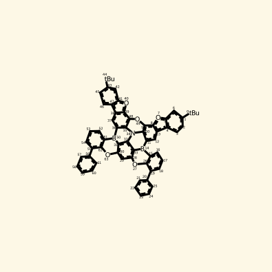 CC(C)(C)c1ccc2c(c1)oc1c3c4c(cc12)B1c2cccc(-c5ccccc5)c2Oc2cc5c6c(c21)N4c1c(cc2c(oc4cc(C(C)(C)C)ccc42)c1O3)B6c1cccc(-c2ccccc2)c1O5